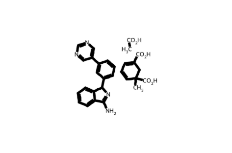 CC(=O)O.CC1(C(=O)O)C=CC=C(C(=O)O)C1.NC1=NC(c2cccc(-c3cncnc3)c2)c2ccccc21